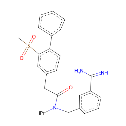 CC(C)N(Cc1cccc(C(=N)N)c1)C(=O)Cc1ccc(-c2ccccc2)c(S(C)(=O)=O)c1